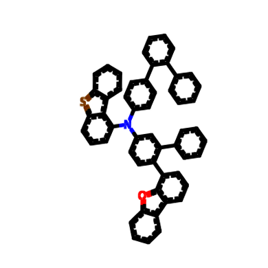 c1ccc(-c2ccccc2-c2ccc(N(c3ccc(-c4cccc5c4oc4ccccc45)c(-c4ccccc4)c3)c3cccc4sc5ccccc5c34)cc2)cc1